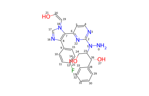 NN(c1nccc(-c2c(-c3ccc(F)cc3)ncn2/C=C\O)n1)C(CO)[C@H](O)c1ccccc1